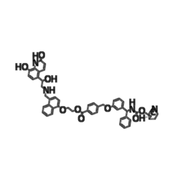 O=C(N[C@@H](c1ccccc1)c1cccc(OCc2ccc(C(=O)OCCOc3ccc(CNC[C@H](O)c4ccc(O)c5[nH]c(=O)ccc45)c4ccccc34)cc2)c1)O[C@H]1CN2CCC1CC2